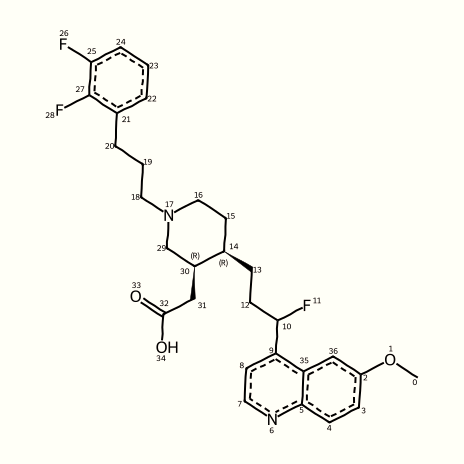 COc1ccc2nccc(C(F)CC[C@@H]3CCN(CCCc4cccc(F)c4F)C[C@@H]3CC(=O)O)c2c1